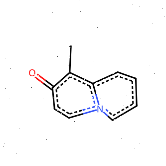 Cc1c(=O)ccn2ccccc12